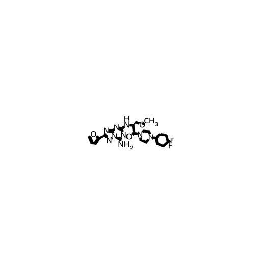 COC[C@H](Nc1nc(N)n2nc(-c3ccco3)nc2n1)C(=O)N1CCN(C2CCC(F)(F)CC2)CC1